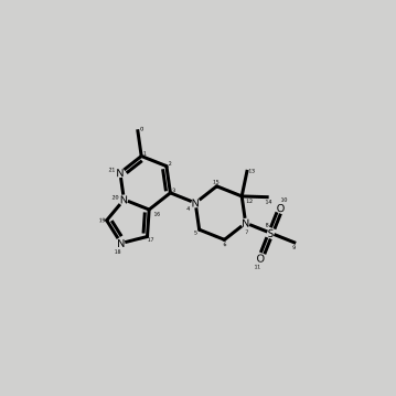 Cc1cc(N2CCN(S(C)(=O)=O)C(C)(C)C2)c2cncn2n1